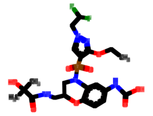 CCOc1nn(CC(F)F)cc1S(=O)(=O)N1CC(CNC(=O)C(C)(C)O)Oc2ccc(NC(=O)O)cc21